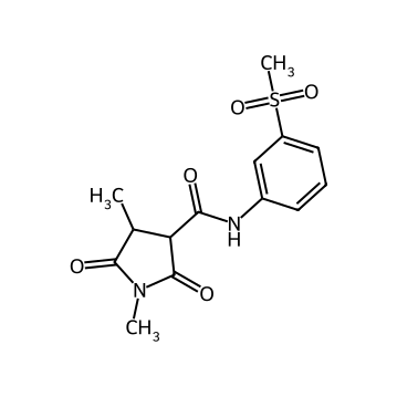 CC1C(=O)N(C)C(=O)C1C(=O)Nc1cccc(S(C)(=O)=O)c1